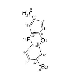 Cc1ccc(Oc2cccc(C(C)(C)C)c2)c(F)c1